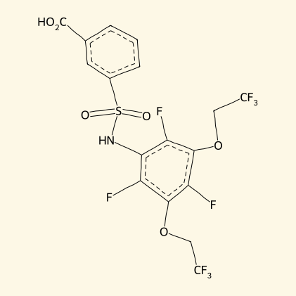 O=C(O)c1cccc(S(=O)(=O)Nc2c(F)c(OCC(F)(F)F)c(F)c(OCC(F)(F)F)c2F)c1